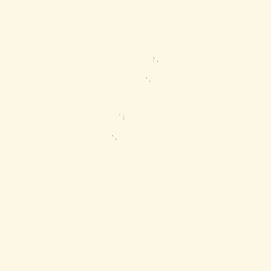 Cc1cnc(C(C)C)nc1-c1ccc(Cl)c(-n2c(C)nc(OCc3ccc(F)cc3)c(Cl)c2=O)c1